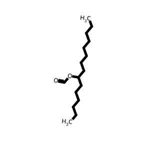 CCCCCCCCC(CCCCCC)OC=O